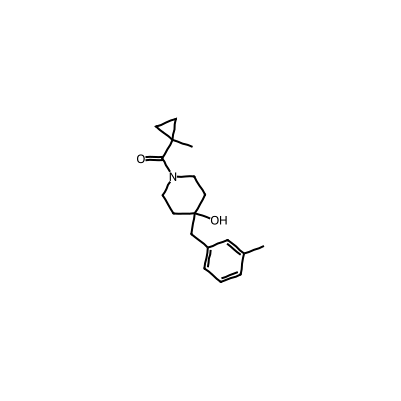 Cc1cccc(CC2(O)CCN(C(=O)C3(C)CC3)CC2)c1